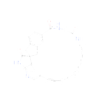 O=C1CNC(=O)c2ccc3c(c2)CC2(C3)C(=O)Nc3ncc(cc32)C=CCCCCCCCN1